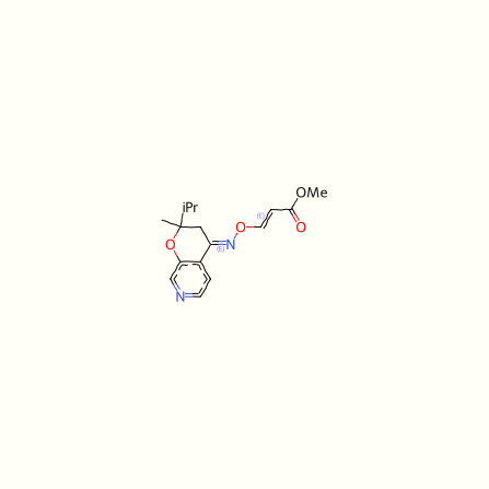 COC(=O)/C=C/O/N=C1\CC(C)(C(C)C)Oc2cnccc21